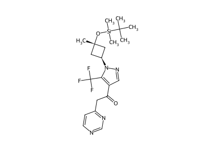 CC(C)(C)[Si](C)(C)O[C@]1(C)C[C@@H](n2ncc(C(=O)Cc3ccncn3)c2C(F)(F)F)C1